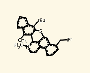 Cc1c2c(c(C(C)(C)C)c3ccccc13)Sc1cc3c(CC(C)C)cccc3c3cc[n+](C)c-2c13